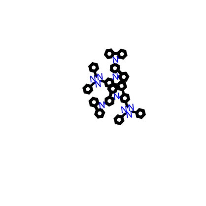 c1ccc(-c2nc(-c3ccccc3)nc(-c3ccc(-c4cccc(-c5ccc(-c6nc(-c7ccccc7)nc(-c7ccccc7)n6)cc5-n5c6ccccc6c6cc(-n7c8ccccc8c8ccccc87)ccc65)c4)c(-n4c5ccccc5c5cc(-n6c7ccccc7c7ccccc76)ccc54)c3)n2)cc1